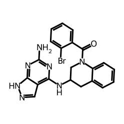 Nc1nc(NC2Cc3ccccc3N(C(=O)c3ccccc3Br)C2)c2cn[nH]c2n1